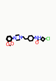 O=C(NC1CCC(CCN2CCN(c3cccc4c3OCO4)CC2)CC1)[C@H]1C[C@H](Cl)C1